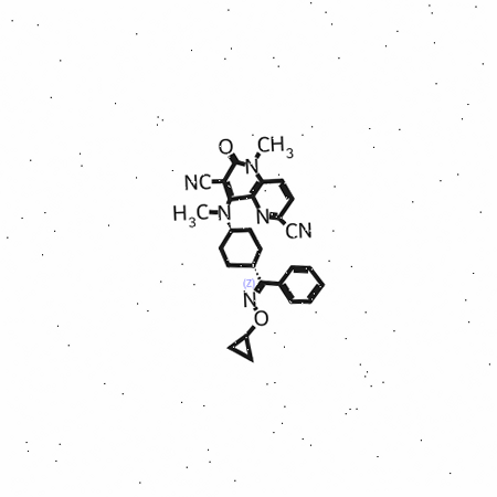 Cn1c(=O)c(C#N)c(N(C)[C@H]2CC[C@@H](/C(=N/OC3CC3)c3ccccc3)CC2)c2nc(C#N)ccc21